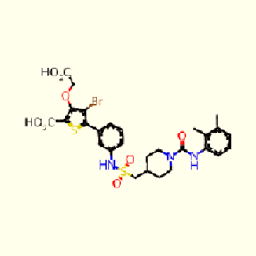 Cc1cccc(NC(=O)N2CCC(CS(=O)(=O)Nc3cccc(-c4sc(C(=O)O)c(OCC(=O)O)c4Br)c3)CC2)c1C